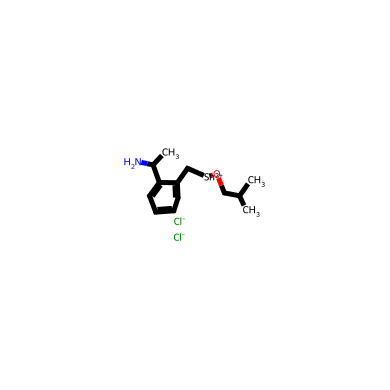 CC(C)C[O][Sn+2][CH2]c1ccccc1C(C)N.[Cl-].[Cl-]